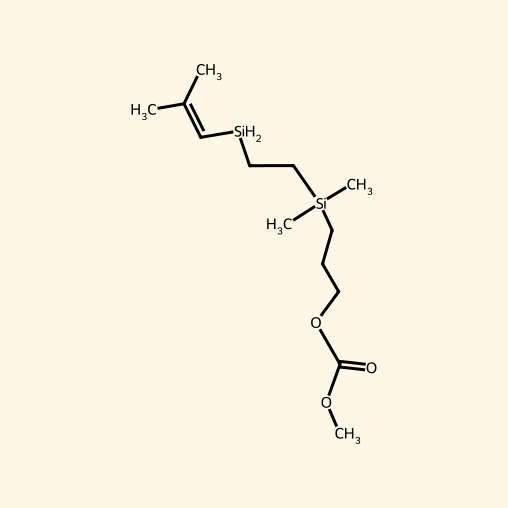 COC(=O)OCCC[Si](C)(C)CC[SiH2]C=C(C)C